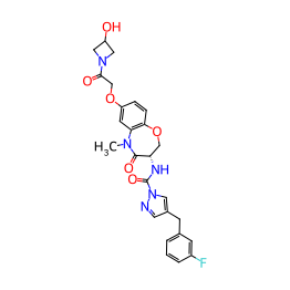 CN1C(=O)[C@@H](NC(=O)n2cc(Cc3cccc(F)c3)cn2)COc2ccc(OCC(=O)N3CC(O)C3)cc21